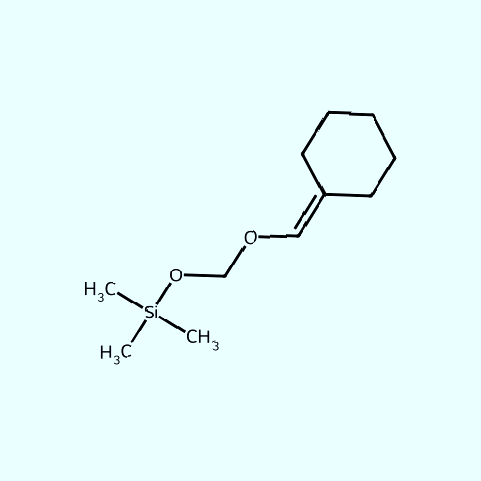 C[Si](C)(C)OCOC=C1CCCCC1